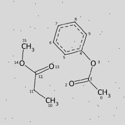 CC(=O)Oc1ccccc1.CCC(=O)OC